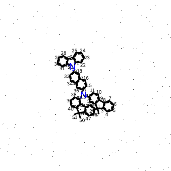 CC1(C)c2ccccc2-c2ccc(N(c3ccc4cc(-n5c6ccccc6c6ccccc65)ccc4c3)c3cccc4c3-c3ccccc3C4(C)C)cc21